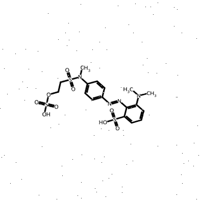 CN(C)c1cccc(S(=O)(=O)O)c1N=Nc1ccc(N(C)S(=O)(=O)CCOS(=O)(=O)O)cc1